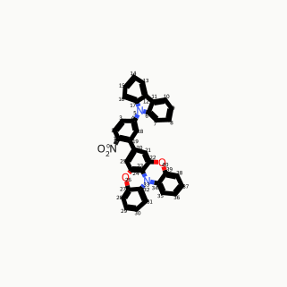 O=[N+]([O-])c1ccc(-n2c3ccccc3c3ccccc32)cc1-c1cc2c3c(c1)Oc1ccccc1N3c1ccccc1O2